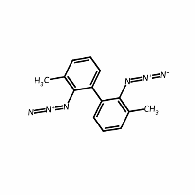 Cc1cccc(-c2cccc(C)c2N=[N+]=[N-])c1N=[N+]=[N-]